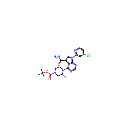 C[C@H]1CN(C(=O)OC(C)(C)C)CCN1c1ncnc2c1c(C(N)=O)cn2-c1cc(Cl)ccn1